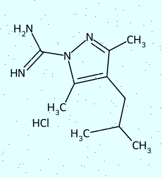 Cc1nn(C(=N)N)c(C)c1CC(C)C.Cl